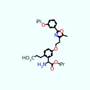 Cc1oc(-c2cccc(OC(C)C)c2)nc1CCOc1ccc(CCC(=O)O)c(C(N)C(=O)OC(C)C)c1